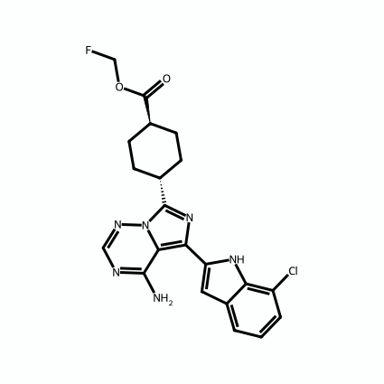 Nc1ncnn2c1c(-c1cc3cccc(Cl)c3[nH]1)nc2[C@H]1CC[C@H](C(=O)OCF)CC1